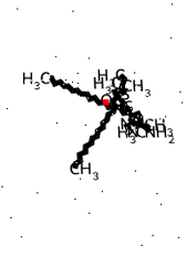 CCCCCCCCCCCCCCCC1(CCCCCCCCCCCCCCC)C(=O)c2cc(C(C)(C)CC)sc2-c2sc(-c3ccc(C(C)(C)N)c4nsnc34)cc21